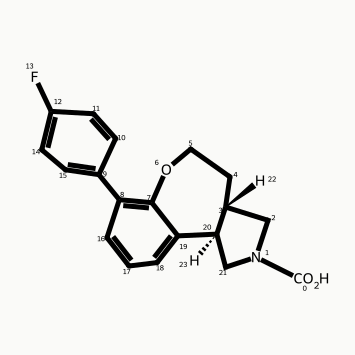 O=C(O)N1C[C@H]2CCOc3c(-c4ccc(F)cc4)cccc3[C@@H]2C1